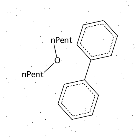 CCCCCOCCCCC.c1ccc(-c2ccccc2)cc1